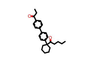 CCCCC(=O)C1(c2ccc(-c3ccc(C(=O)CC)cc3)cc2)CCCCC1